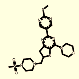 CSc1ncc(-c2nc3c(c(N4CCOCC4)n2)SC(CN2CCN(S(C)(=O)=O)CC2)C3)cn1